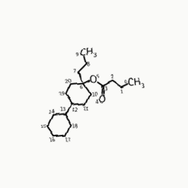 CCCC(=O)O[C@]1(CCC)CC[C@@H](C2CCCCC2)CC1